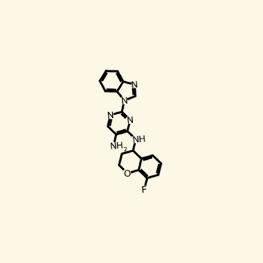 Nc1cnc(-n2cnc3ccccc32)nc1NC1CCOc2c(F)cccc21